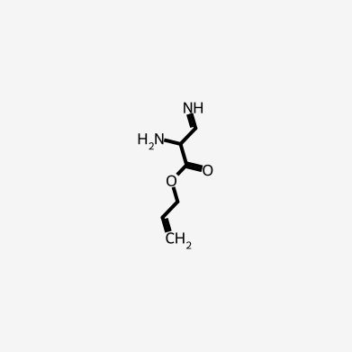 C=CCOC(=O)C(N)C=N